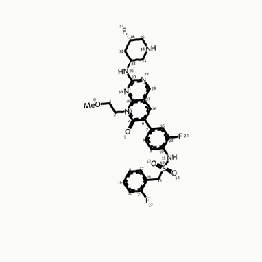 COCCn1c(=O)c(-c2ccc(NS(=O)(=O)Cc3ccccc3F)c(F)c2)cc2cnc(N[C@@H]3CNC[C@@H](F)C3)nc21